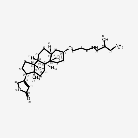 C[C@]12CC[C@H](OCCCNCC(O)CN)C[C@H]1CC[C@@H]1[C@@H]2CC[C@]2(C)[C@@H](C3=CC(=O)OC3)CC[C@]12O